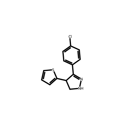 Clc1ccc(C2=NNCC2c2cccs2)cc1